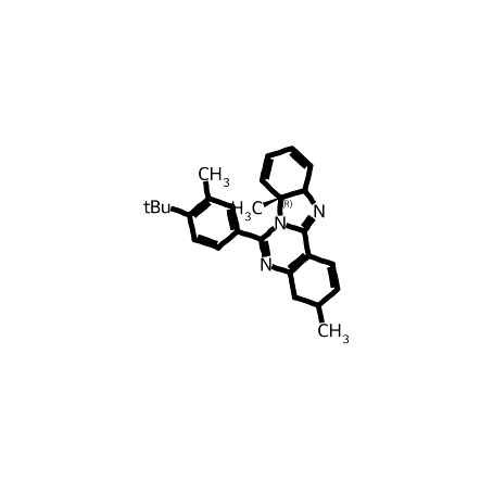 Cc1cc(C2=NC3=C(C=CC(C)C3)C3=NC4C=CC=C[C@@]4(C)N32)ccc1C(C)(C)C